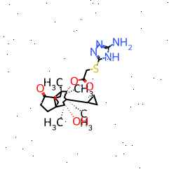 C[C@@H]1CCC23CCC(=O)C2[C@]1(C)[C@H](OC(=O)CSc1nnc(N)[nH]1)C[C@@](C)(C1CC1)[C@@H](O)[C@@H]3C